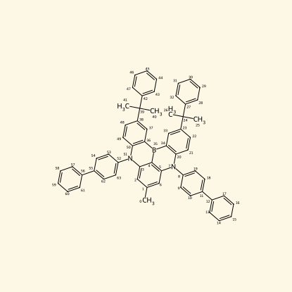 Cc1cc2c3c(c1)N(c1ccc(-c4ccccc4)cc1)c1ccc(C(C)(C)c4ccccc4)cc1B3c1cc(C(C)(C)c3ccccc3)ccc1N2c1ccc(-c2ccccc2)cc1